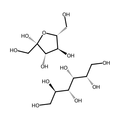 OC[C@@H](O)[C@@H](O)[C@H](O)[C@@H](O)CO.OC[C@H]1O[C@](O)(CO)[C@@H](O)[C@@H]1O